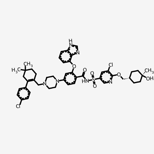 CC1(C)CCC(CN2CCN(c3ccc(C(=O)NS(=O)(=O)c4cnc(OC[C@H]5CC[C@](C)(O)CC5)c(Cl)c4)c(Oc4cccc5[nH]cnc45)c3)CC2)=C(c2ccc(Cl)cc2)C1